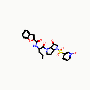 CCCC(NC(=O)c1cc2ccccc2o1)C(=O)N1CCC2C1C(=O)CN2S(=O)(=O)c1ccc[n+]([O-])c1